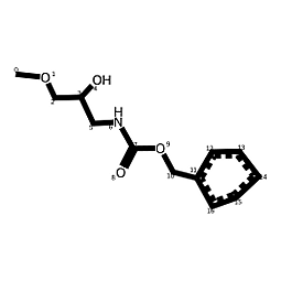 COCC(O)CNC(=O)OCc1ccccc1